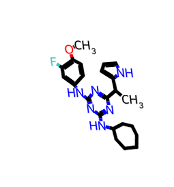 COc1ccc(Nc2nc(NC3CCCCCC3)nc(C(C)c3ccc[nH]3)n2)cc1F